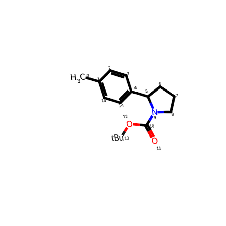 Cc1ccc(C2CCCN2C(=O)OC(C)(C)C)cc1